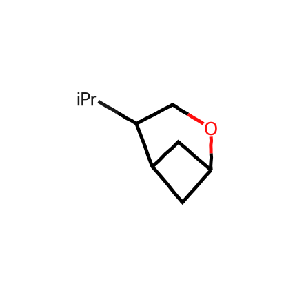 CC(C)C1COC2CC1C2